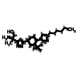 CCCCCCn1cc(-c2ccc(-c3nnc([C@@](C)(N)CO)s3)cc2C(F)(F)F)cn1